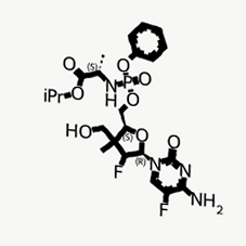 CC(C)OC(=O)[C@H](C)NP(=O)(OC[C@H]1O[C@@H](n2cc(F)c(N)nc2=O)C(F)C1(C)CO)Oc1ccccc1